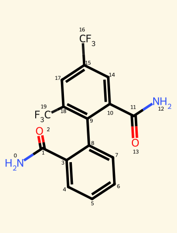 NC(=O)c1ccccc1-c1c(C(N)=O)cc(C(F)(F)F)cc1C(F)(F)F